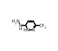 NNC1C=CC(C(F)(F)F)=NN1